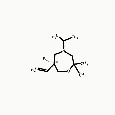 C=C[C@]1(F)COC(C)(C)CN(C(C)C)C1